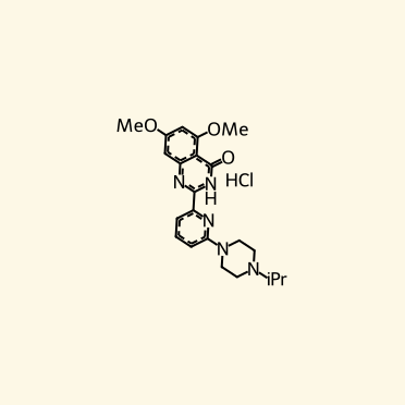 COc1cc(OC)c2c(=O)[nH]c(-c3cccc(N4CCN(C(C)C)CC4)n3)nc2c1.Cl